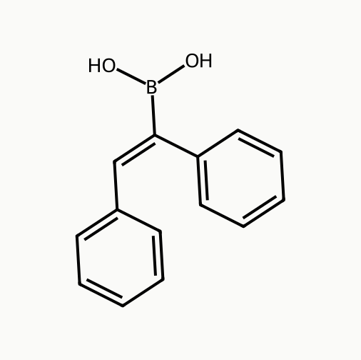 OB(O)C(=Cc1ccccc1)c1ccccc1